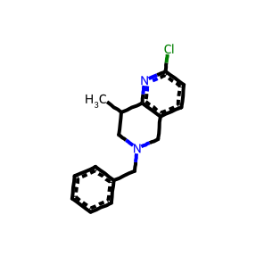 CC1CN(Cc2ccccc2)Cc2ccc(Cl)nc21